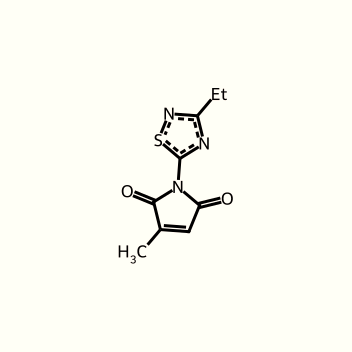 CCc1nsc(N2C(=O)C=C(C)C2=O)n1